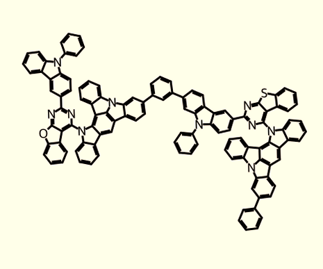 c1ccc(-c2ccc3c4cc5c6ccccc6n(-c6nc(-c7ccc8c(c7)c7ccc(-c9cccc(-c%10ccc%11c%12cc%13c%14ccccc%14n(-c%14nc(-c%15ccc%16c(c%15)c%15ccccc%15n%16-c%15ccccc%15)nc%15oc%16ccccc%16c%14%15)c%13c%13c%14ccccc%14n(c%11c%10)c%12%13)c9)cc7n8-c7ccccc7)nc7sc8ccccc8c67)c5c5c6ccccc6n(c3c2)c45)cc1